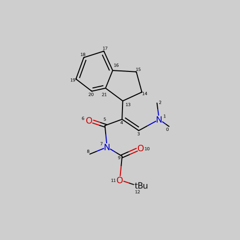 CN(C)/C=C(/C(=O)N(C)C(=O)OC(C)(C)C)C1CCc2ccccc21